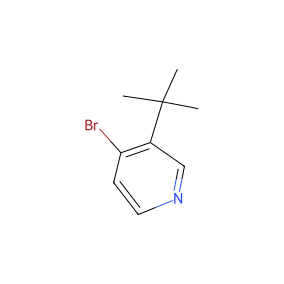 CC(C)(C)c1cnccc1Br